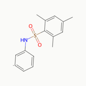 Cc1cc(C)c(S(=O)(=O)Nc2c[c]ccc2)c(C)c1